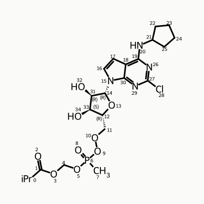 CC(C)C(=O)OCOP(C)(=O)OOC[C@H]1O[C@@H](n2ccc3c(NC4CCCC4)nc(Cl)nc32)[C@H](O)[C@@H]1O